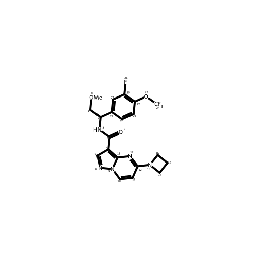 COCC(NC(=O)c1cnn2ccc(N3CCC3)nc12)c1ccc(OC(F)(F)F)c(F)c1